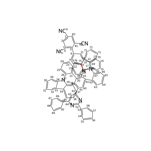 N#Cc1cc(C#N)c(-c2ccc3c(c2)c2ccccc2n3-c2c(-c3ccccc3-n3c4ccccc4c4ccccc43)cc(-c3cc(-c4ccccc4)nc(-c4ccccc4)n3)cc2-c2ccccc2-n2c3ccccc3c3ccccc32)c(C#N)c1